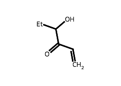 C=CC(=O)C(O)CC